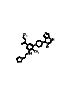 Cc1c(NCCN2CCCC2)cc(C(=O)CCC(F)(F)F)cc1N1CCN(C2c3cncn3NCN2Br)CC1